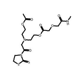 CNC(=O)COCC(=O)OCCN(CCOC(C)=O)CC(=O)N1CCSC1=S